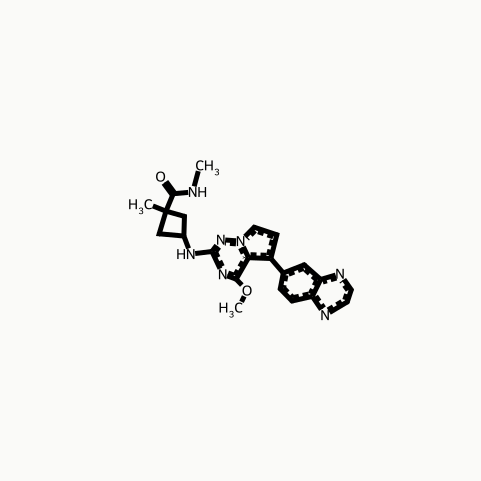 CNC(=O)C1(C)CC(Nc2nc(OC)c3c(-c4ccc5nccnc5c4)ccn3n2)C1